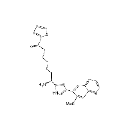 COc1cc2ncccc2cc1-c1c[nH]c([C@@H](N)CCCCCC(=O)c2ncco2)n1